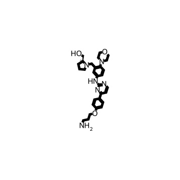 NCCCOc1ccc(-c2ccnc(Nc3ccc(N4CCOCC4)c(CN4CCC[C@H]4CO)c3)n2)cc1